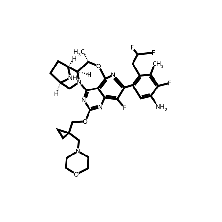 Cc1c(F)c(N)cc(-c2nc3c4c(nc(OCC5(CN6CCOCC6)CC5)nc4c2F)N2C[C@H]4CC[C@H](N4)[C@H]2[C@H](C)O3)c1CC(F)F